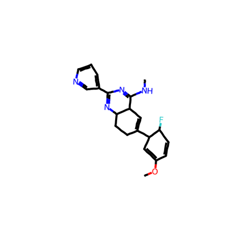 CNC1=NC(c2cccnc2)=NC2CCC(C3C=C(OC)C=CC3F)=CC12